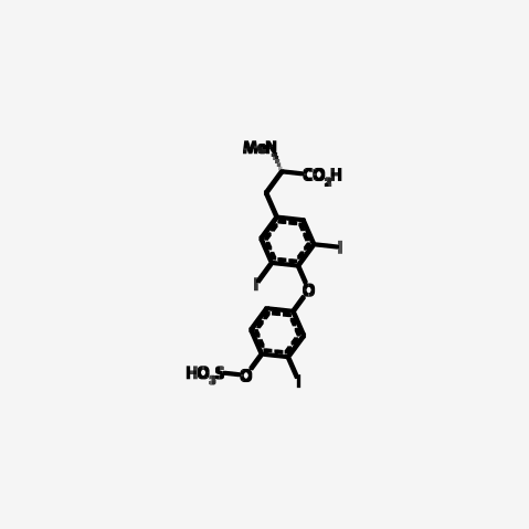 CN[C@@H](Cc1cc(I)c(Oc2ccc(OS(=O)(=O)O)c(I)c2)c(I)c1)C(=O)O